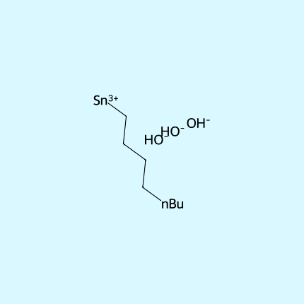 CCCCCCC[CH2][Sn+3].[OH-].[OH-].[OH-]